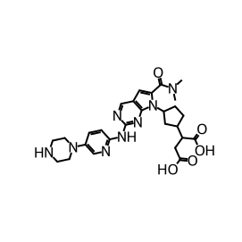 CN(C)C(=O)c1cc2cnc(Nc3ccc(N4CCNCC4)cn3)nc2n1C1CCC(C(CC(=O)O)C(=O)O)C1